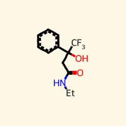 CCNC(=O)CC(O)(c1ccccc1)C(F)(F)F